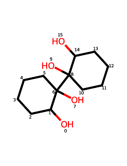 OC1CCCCC1(O)C1(O)CCCCC1O